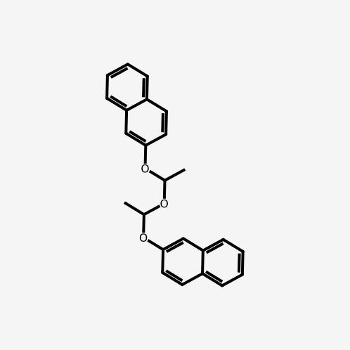 CC(Oc1ccc2ccccc2c1)OC(C)Oc1ccc2ccccc2c1